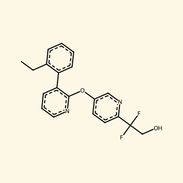 CCc1ccccc1-c1cccnc1Oc1ccc(C(F)(F)CO)nc1